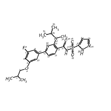 CC(C)COc1cc(F)cc(-c2ccc(C(=O)NS(=O)(=O)c3ccn[nH]3)c(N(C)C(C)C)n2)c1